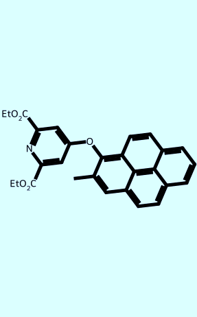 CCOC(=O)c1cc(Oc2c(C)cc3ccc4cccc5ccc2c3c45)cc(C(=O)OCC)n1